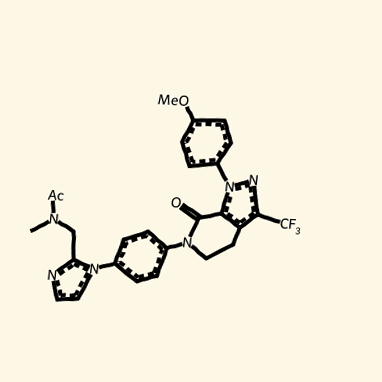 COc1ccc(-n2nc(C(F)(F)F)c3c2C(=O)N(c2ccc(-n4ccnc4CN(C)C(C)=O)cc2)CC3)cc1